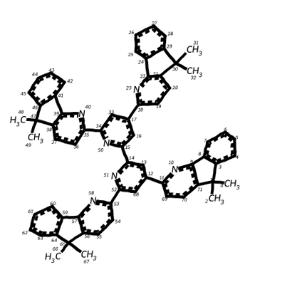 CC1(C)c2ccccc2-c2nc(-c3cc(-c4cc(-c5ccc6c(n5)-c5ccccc5C6(C)C)cc(-c5ccc6c(n5)-c5ccccc5C6(C)C)n4)nc(-c4ccc5c(n4)-c4ccccc4C5(C)C)c3)ccc21